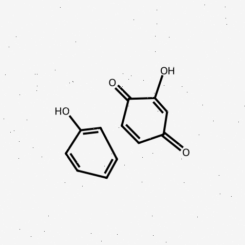 O=C1C=CC(=O)C(O)=C1.Oc1ccccc1